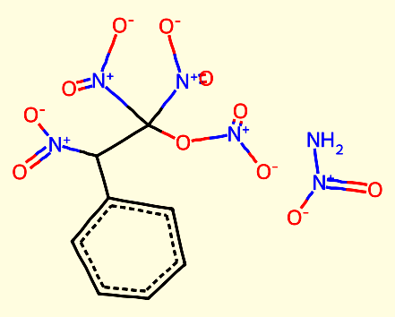 N[N+](=O)[O-].O=[N+]([O-])OC(C(c1ccccc1)[N+](=O)[O-])([N+](=O)[O-])[N+](=O)[O-]